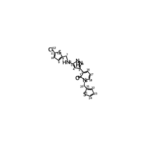 O=c1c(-c2cc(NCc3ccc(Cl)s3)[nH]n2)cccn1Cc1cccs1